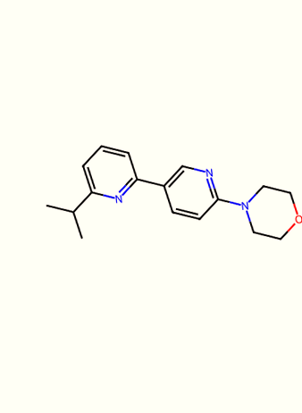 CC(C)c1cccc(-c2ccc(N3CCOCC3)nc2)n1